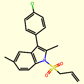 C=CCS(=O)(=O)n1c(C)c(-c2ccc(Cl)cc2)c2cc(C)ccc21